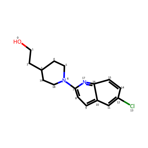 OCCC1CCN(c2ccc3cc(Cl)ccc3n2)CC1